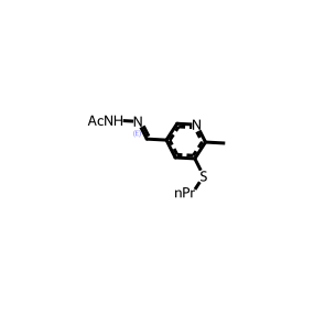 CCCSc1cc(/C=N/NC(C)=O)cnc1C